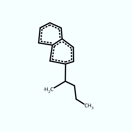 [CH2]C(CCC)c1ccc2ccccc2c1